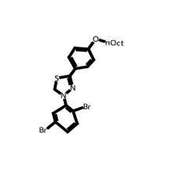 CCCCCCCCOc1ccc(C2=NN(c3cc(Br)ccc3Br)CS2)cc1